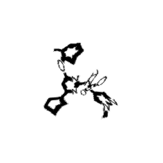 Cc1ccccc1Oc1cc(C2CCCC2)nc(NS(=O)(=O)c2cnn(C)c2)n1